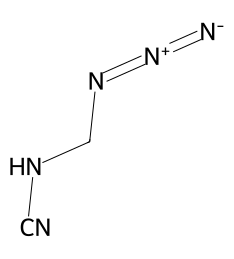 N#CNCN=[N+]=[N-]